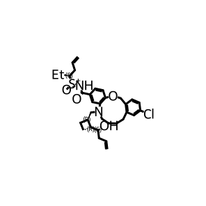 C=CC[C@H](CC)[S+]([O-])NC(=O)c1ccc2c(c1)N(C[C@@H]1CC[C@H]1[C@@H](O)CC=C)CCCCc1cc(Cl)ccc1CO2